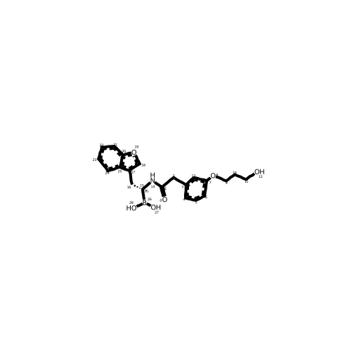 O=C(Cc1cccc(OCCCO)c1)N[C@@H](Cc1coc2ccccc12)B(O)O